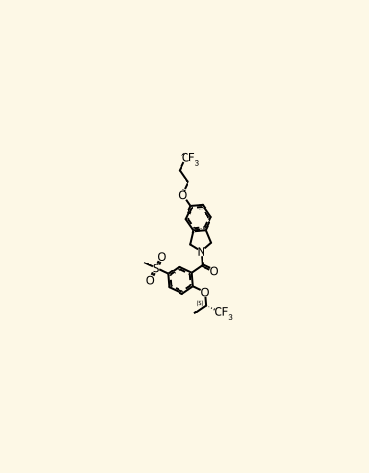 C[C@H](Oc1ccc(S(C)(=O)=O)cc1C(=O)N1Cc2ccc(OCCC(F)(F)F)cc2C1)C(F)(F)F